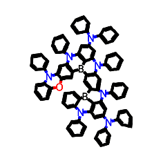 c1ccc(N(c2ccccc2)c2cc3c4c(c2)N(c2ccccc2)c2cc5c(cc2B4c2ccccc2N3c2ccccc2)B2c3cc4c(cc3N(c3ccccc3)c3cc(N(c6ccccc6)c6ccccc6)cc(c32)N5c2ccccc2)N(c2ccccc2)c2ccccc2O4)cc1